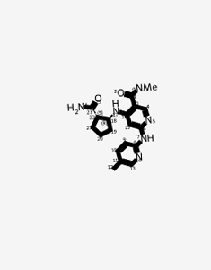 CNC(=O)c1cnc(Nc2ccc(C)cn2)cc1N[C@@H]1CCC[C@@H]1C(N)=O